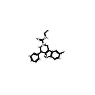 CCOC(=O)N1Cc2c([nH]c3ccc(C)cc23)C(c2ccccc2)C1